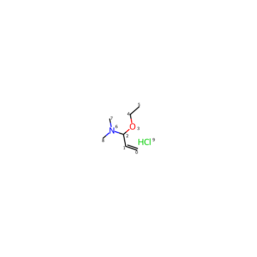 C=CC(OCC)N(C)C.Cl